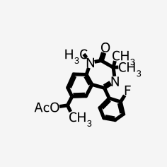 CC(=O)OC(C)c1ccc2c(c1)C(c1ccccc1F)=NC(C)(C)C(=O)N2C